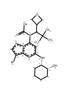 CC(C)(C)C(C1COC1)N(C(=O)O)c1cc(N[C@H]2CCCC[C@H]2O)nc2c(Br)cnn12